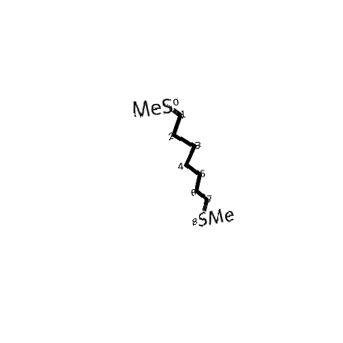 CSCCCCCCCSC